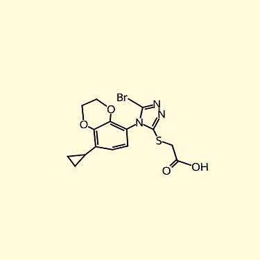 O=C(O)CSc1nnc(Br)n1-c1ccc(C2CC2)c2c1OCCO2